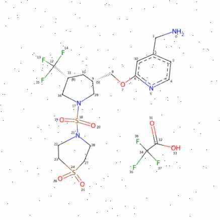 NCc1ccnc(OC[C@H]2C[C@@H](C(F)(F)F)CN(S(=O)(=O)N3CCS(=O)(=O)CC3)C2)c1.O=C(O)C(F)(F)F